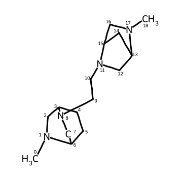 CN1CC2CCC1CN2CCN1CC2CC1CN2C